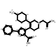 CC(=O)CN1CCC(c2cc(-c3ccccc3)sc2C(=O)O)=C(C2CCC(C)CC2)C1